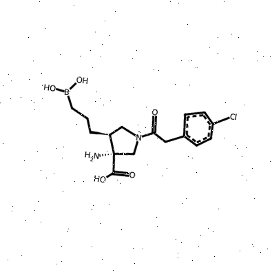 N[C@@]1(C(=O)O)CN(C(=O)Cc2ccc(Cl)cc2)C[C@@H]1CCCB(O)O